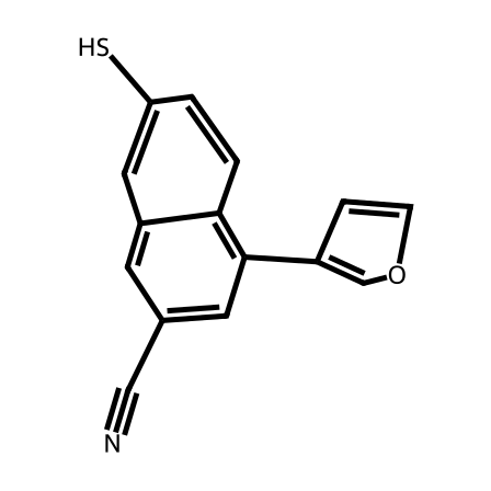 N#Cc1cc(-c2ccoc2)c2ccc(S)cc2c1